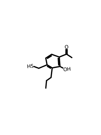 CCCc1c(CS)ccc(C(C)=O)c1O